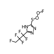 FCC(F)(F)C(F)(F)c1nnc(SOOF)[nH]1